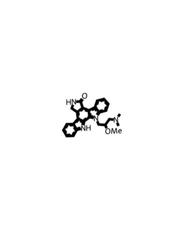 COC(CN(C)C)Cn1c2ccccc2c2c3c(c4c5ccccc5[nH]c4c21)CNC3=O